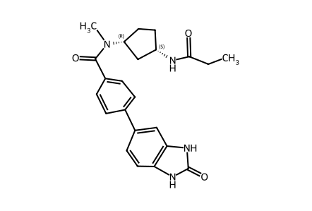 CCC(=O)N[C@H]1CC[C@@H](N(C)C(=O)c2ccc(-c3ccc4[nH]c(=O)[nH]c4c3)cc2)C1